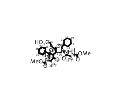 COC(=O)N[C@H](C(=O)NN(CC1CCCCC1)C[C@H](C(=O)CCC(=O)O)C(C(=O)[C@@H](NC(=O)OC)C(C)C)C(N)(O)c1ccccc1)C(C)C